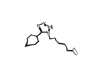 ClCCCCCn1nnnc1C1CCCCC1